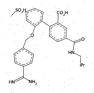 CC(C)CNC(=O)c1ccc(-c2ccccc2OCc2ccc(C(=N)N)cc2)c(C(=O)O)c1.CS(=O)(=O)O